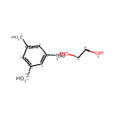 CC(C)(C)c1cc(C(=O)O)cc(C(=O)O)c1.OCCO